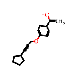 C=C(O)c1ccc(OCC#CC2CCCC2)cc1